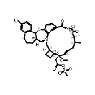 CO[C@@]1(CC(=O)OS(C)(=O)=O)/C=C/C[C@H](C)[C@@H](C)S(=O)(=O)NC(=O)c2ccc3c(c2)N(C[C@H]2CCCc4cc(Cl)ccc4C2O3)C[C@@H]2CC[C@H]21